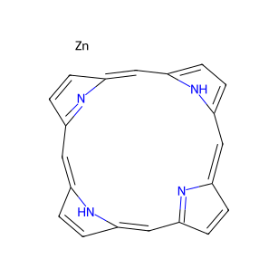 C1=Cc2cc3ccc(cc4nc(cc5ccc(cc1n2)[nH]5)C=C4)[nH]3.[Zn]